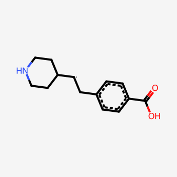 O=C(O)c1ccc(C[CH]C2CCNCC2)cc1